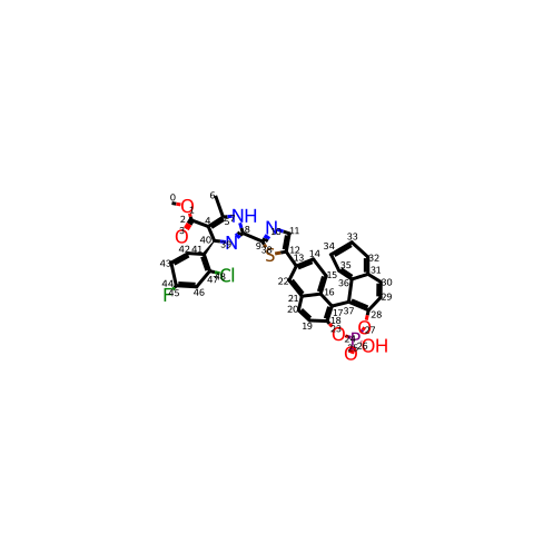 COC(=O)C1=C(C)NC(c2ncc(-c3ccc4c5c(ccc4c3)OP(=O)(O)Oc3ccc4ccccc4c3-5)s2)=N[C@H]1c1ccc(F)cc1Cl